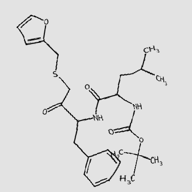 CC(C)CC(NC(=O)OC(C)(C)C)C(=O)NC(Cc1ccccc1)C(=O)CSCc1ccco1